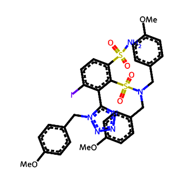 COc1ccc(CN(Cc2ccc(OC)cc2)S(=O)(=O)c2c(S(N)(=O)=O)ccc(I)c2-c2nnnn2Cc2ccc(OC)cc2)cc1